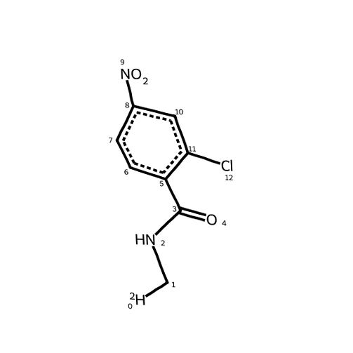 [2H]CNC(=O)c1ccc([N+](=O)[O-])cc1Cl